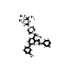 CC(C)(C)OC(=O)N1CCN(C(=O)c2ccc(-c3cccc(O)c3)cc2C(=O)Nc2ccccc2)CC1